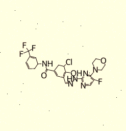 O=C(NC1C=C(C(F)(F)F)C=CC1)C1=CC(/C=N\Nc2ncc(F)c(N3CCOCC3)n2)=C(O)C(Cl)C1